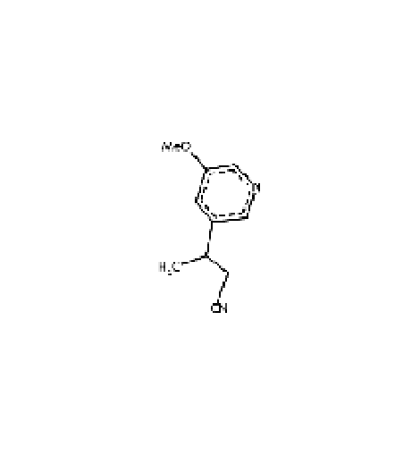 COc1cncc(C(C)CC#N)c1